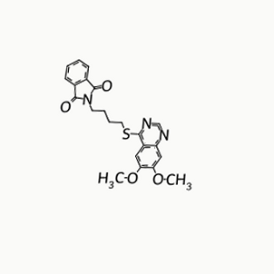 COc1cc2ncnc(SCCCCN3C(=O)c4ccccc4C3=O)c2cc1OC